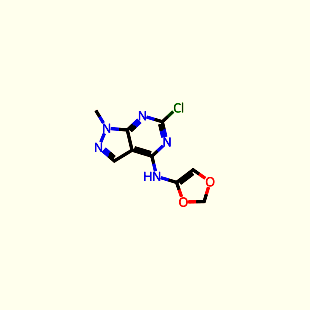 Cn1ncc2c(NC3=COCO3)nc(Cl)nc21